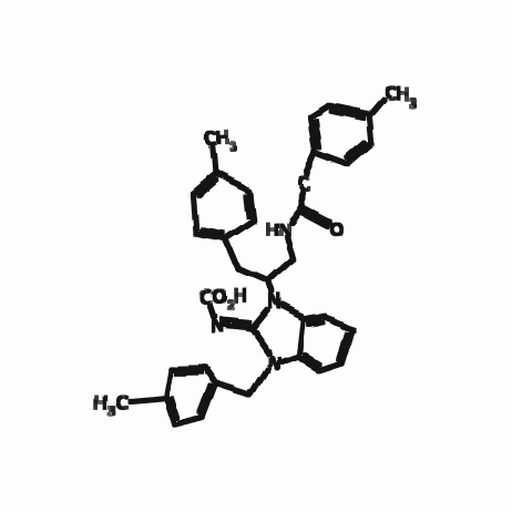 Cc1ccc(CC(=O)NCC(Cc2ccc(C)cc2)n2c(=NC(=O)O)n(Cc3ccc(C)cc3)c3ccccc32)cc1